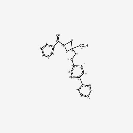 O=C(c1ccccc1)N1CC(COc2cnc(-c3ccccc3)cn2)(C(=O)O)C1